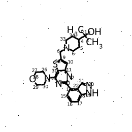 CC(C)(O)C1CCN(Cc2cc3nc(-c4cccc5[nH]ncc45)nc(N4CCOCC4)c3s2)CC1